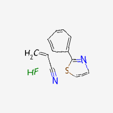 C=CC#N.F.c1ccc(-c2nccs2)cc1